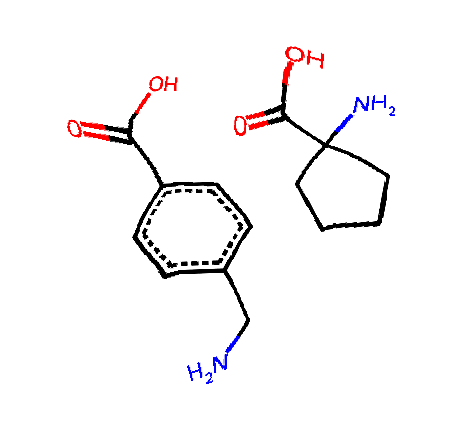 NC1(C(=O)O)CCCC1.NCc1ccc(C(=O)O)cc1